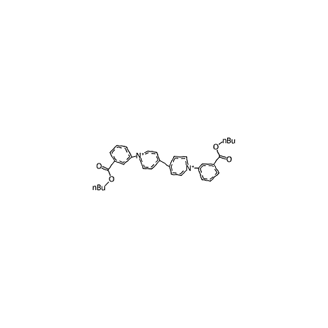 CCCCOC(=O)c1cccc(-[n+]2ccc(-c3cc[n+](-c4cccc(C(=O)OCCCC)c4)cc3)cc2)c1